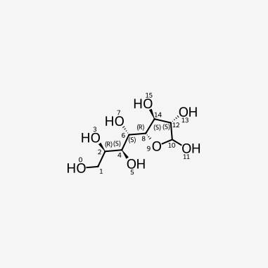 OC[C@@H](O)[C@H](O)[C@H](O)[C@H]1OC(O)[C@@H](O)[C@@H]1O